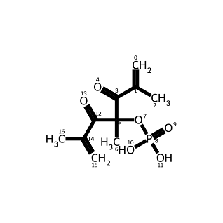 C=C(C)C(=O)C(C)(OP(=O)(O)O)C(=O)C(=C)C